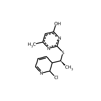 Cc1cc(O)nc(S[C@@H](C)C2C=CC=NC2Cl)n1